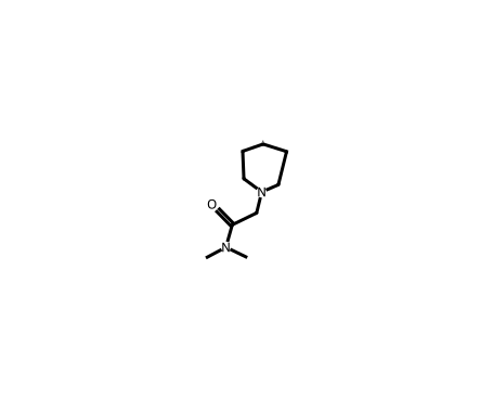 CN(C)C(=O)CN1CC[CH]CC1